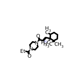 CCC(=O)N1CCN(C(=O)/C=C/[C@]2(C)C(C)CCCC2(C)C)CC1